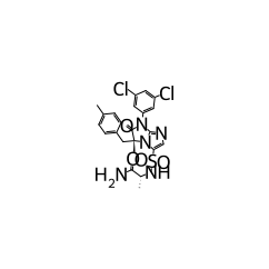 Cc1ccc(C[C@]2(C)C(=O)N(c3cc(Cl)cc(Cl)c3)c3ncc(S(=O)(=O)N[C@H](C)C(N)=O)n32)cc1